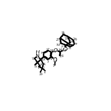 COc1cc(C2(CC(C)(C)C)NCC2(C)C)ccc1OC(C)OC12CC3CC(CC(C3)C1)C2